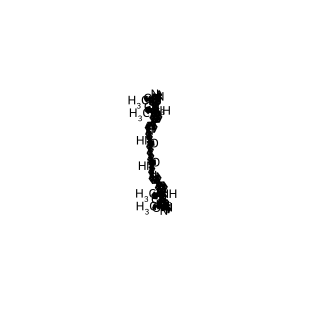 COc1cc(-c2[nH]c3ccc(C4CCN(CCNC(=O)CCCCCC(=O)NCCN5CCC(c6ccc7[nH]c(-c8cc(OC)c9ncnn9c8)c(C(C)C)c7c6)CC5)CC4)cc3c2C(C)C)cn2ncnc12